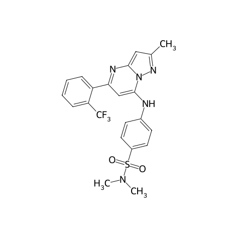 Cc1cc2nc(-c3ccccc3C(F)(F)F)cc(Nc3ccc(S(=O)(=O)N(C)C)cc3)n2n1